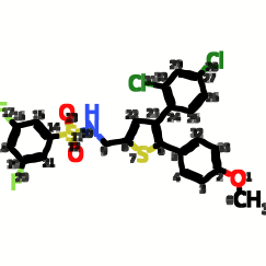 COc1ccc(-c2sc(CNS(=O)(=O)c3cc(F)cc(F)c3)cc2-c2ccc(Cl)cc2Cl)cc1